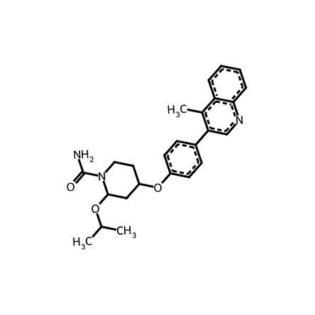 Cc1c(-c2ccc(OC3CCN(C(N)=O)C(OC(C)C)C3)cc2)cnc2ccccc12